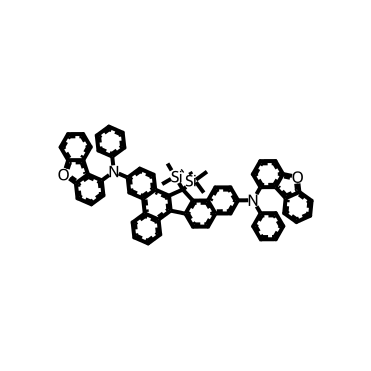 C[Si](C)(C)C1([Si](C)(C)C)c2c(ccc3cc(N(c4ccccc4)c4cccc5oc6ccccc6c45)ccc23)-c2c1c1ccc(N(c3ccccc3)c3cccc4oc5ccccc5c34)cc1c1ccccc21